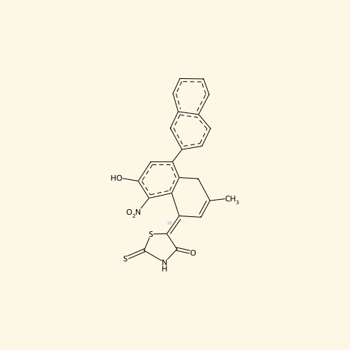 CC1=C/C(=C2/SC(=S)NC2=O)c2c(c(-c3ccc4ccccc4c3)cc(O)c2[N+](=O)[O-])C1